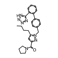 CCCCc1cc(C(=O)N2CCCC2)nn1Cc1ccc(-c2ccccc2-c2nnn[nH]2)cc1